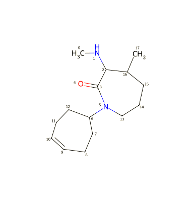 CNC1C(=O)N(C2CCC=CCC2)CCCC1C